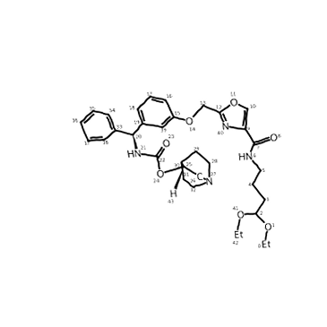 CCOC(CCCNC(=O)c1coc(COc2cccc([C@@H](NC(=O)O[C@H]3CN4CCC3CC4)c3ccccc3)c2)n1)OCC